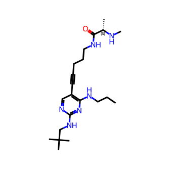 CCCNc1nc(NCC(C)(C)C)ncc1C#CCCCNC(=O)[C@H](C)NC